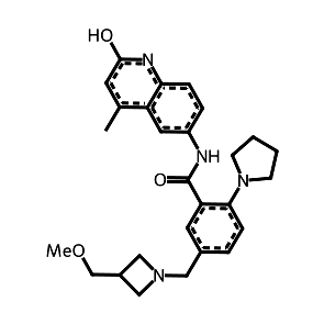 COCC1CN(Cc2ccc(N3CCCC3)c(C(=O)Nc3ccc4nc(O)cc(C)c4c3)c2)C1